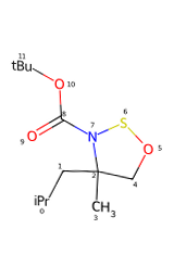 CC(C)CC1(C)COSN1C(=O)OC(C)(C)C